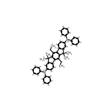 CCc1c2c(c(CC)c3c1C(C)(C)c1cc(N(c4ccccc4)c4ccccc4)ccc1-3)C(C)(C)c1cc(N(c3ccccc3)c3ccccc3)ccc1-2